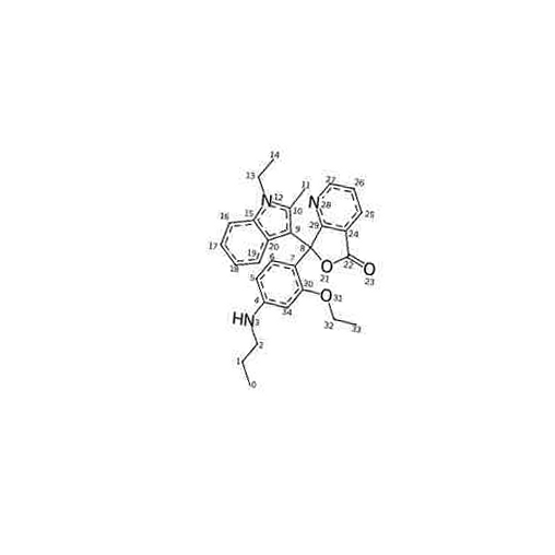 CCCNc1ccc(C2(c3c(C)n(CC)c4ccccc34)OC(=O)c3cccnc32)c(OCC)c1